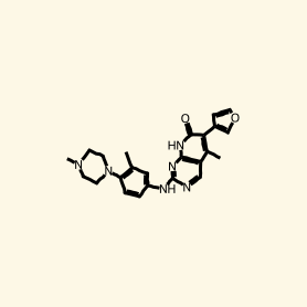 Cc1cc(Nc2ncc3c(C)c(-c4ccoc4)c(=O)[nH]c3n2)ccc1N1CCN(C)CC1